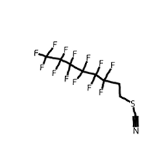 N#CSCCC(F)(F)C(F)(F)C(F)(F)C(F)(F)C(F)(F)C(F)(F)F